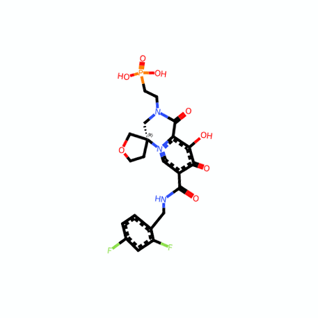 O=C(NCc1ccc(F)cc1F)c1cn2c(c(O)c1=O)C(=O)N(CCP(=O)(O)O)C[C@@]21CCOC1